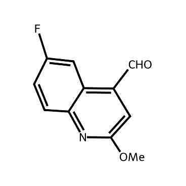 COc1cc(C=O)c2cc(F)ccc2n1